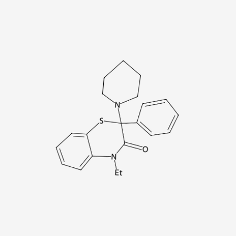 CCN1C(=O)C(c2ccccc2)(N2CCCCC2)Sc2ccccc21